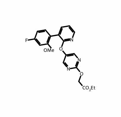 CCOC(=O)COc1ncc(Oc2ncccc2-c2ccc(F)cc2OC)cn1